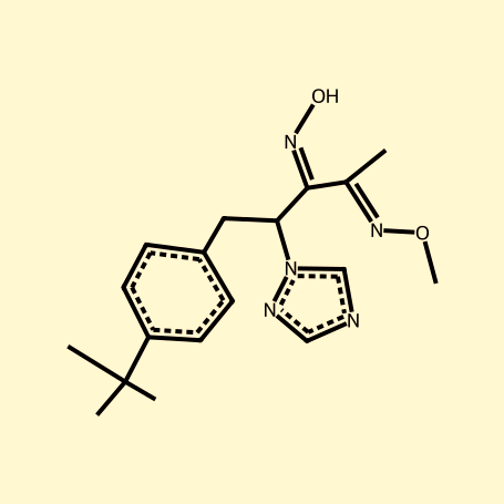 CON=C(C)C(=NO)C(Cc1ccc(C(C)(C)C)cc1)n1cncn1